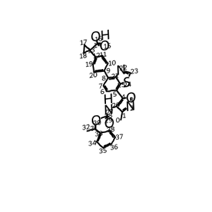 Cc1noc(-c2ccc(-c3ccc(C4(C(=O)O)CC4)cc3)c3ncsc23)c1NC(=O)OC(C)c1ccccc1